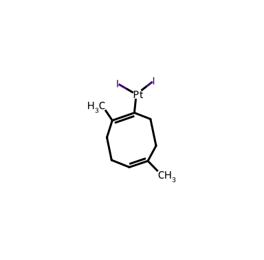 CC1=CCCC(C)=[C]([Pt]([I])[I])CC1